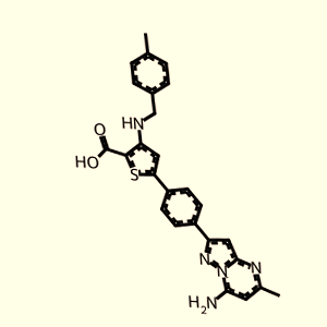 Cc1ccc(CNc2cc(-c3ccc(-c4cc5nc(C)cc(N)n5n4)cc3)sc2C(=O)O)cc1